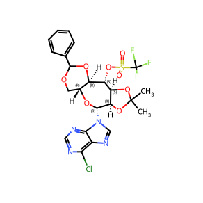 CC1(C)O[C@@H]2[C@@H](OS(=O)(=O)C(F)(F)F)[C@@H]3OC(c4ccccc4)OC[C@H]3O[C@@H](n3cnc4c(Cl)ncnc43)[C@@H]2O1